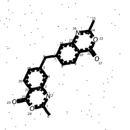 Cc1nc2cc(Cc3ccc4c(=O)oc(C)nc4c3)ccc2c(=O)o1